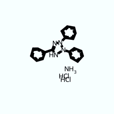 Cl.Cl.N.c1ccc(C2=NN(c3ccccc3)N(c3ccccc3)N2)cc1